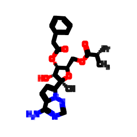 CC(C)[C@H](C)C(=O)OC[C@H]1O[C@@](C#N)(c2ccc3c(N)ncnn23)[C@H](O)[C@@H]1OC(=O)Cc1ccccc1